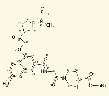 CCCCOC(=O)N1CCN(C(=O)CNC(=O)c2cc(OCC(=O)N3CC[C@H](N(C)C)C3)c3ccc(C)cc3n2)CC1